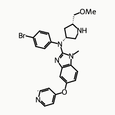 COC[C@H]1C[C@@H](N(c2ccc(Br)cc2)c2nc3cc(Oc4c[c]ncc4)ccc3n2C)CN1